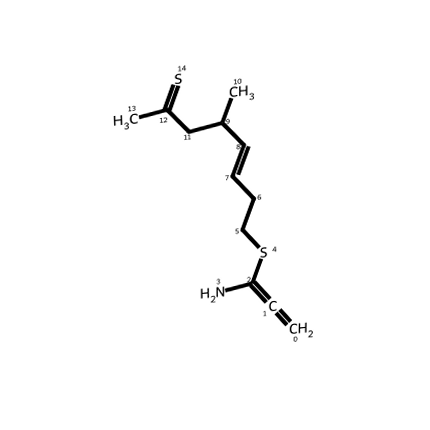 C=C=C(N)SCC/C=C/C(C)CC(C)=S